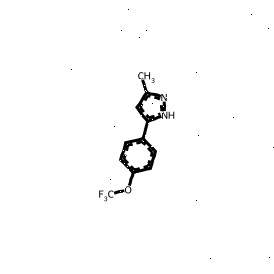 Cc1cc(-c2ccc(OC(F)(F)F)cc2)[nH]n1